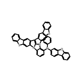 c1ccc(N(c2ccc3c(c2)oc2ccccc23)c2cccc3c2n2c4cc5sc6ccccc6c5cc4c4c5cc6c(cc5n3c42)sc2ccccc26)cc1